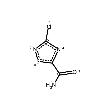 NC(=O)c1nc(Cl)ns1